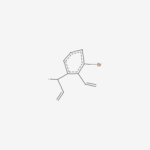 [CH2]C(C=C)c1cccc(Br)c1C=C